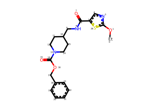 CCOc1ncc(C(=O)NCC2CCN(C(=O)OCc3ccccc3)CC2)s1